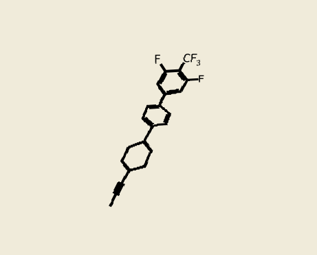 CC#CC1CCC(c2ccc(-c3cc(F)c(C(F)(F)F)c(F)c3)cc2)CC1